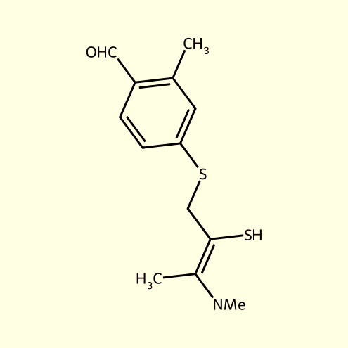 CN/C(C)=C(\S)CSc1ccc(C=O)c(C)c1